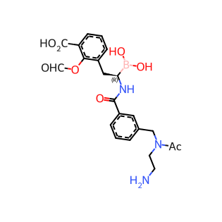 CC(=O)N(CCN)Cc1cccc(C(=O)N[C@@H](Cc2cccc(C(=O)O)c2OC=O)B(O)O)c1